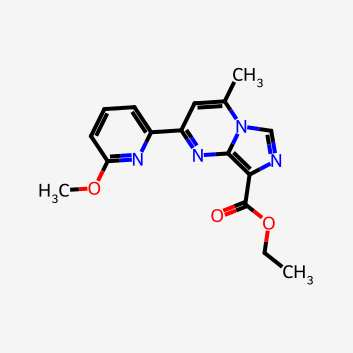 CCOC(=O)c1ncn2c(C)cc(-c3cccc(OC)n3)nc12